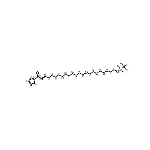 CC(C)(C)[Si](C)(C)OCCOCCOCCOCCCCCCCCCCCC=NC(=O)c1ccsc1